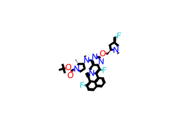 C#Cc1c(F)ccc2cccc(-c3ncc4c(N(C)[C@@H]5CCN(C(=O)OC(C)(C)C)[C@@H]5C)nc(OC[C@H]5C/C(=C/F)CN5C)nc4c3F)c12